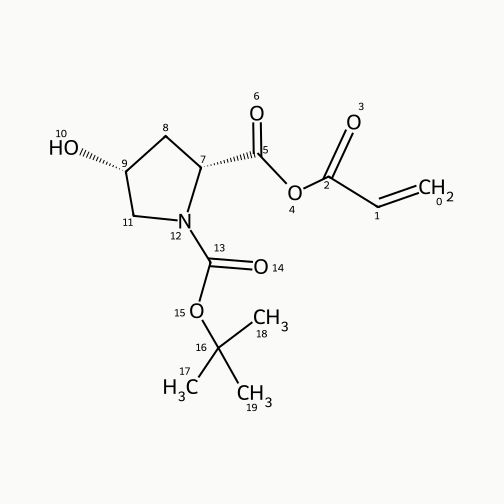 C=CC(=O)OC(=O)[C@H]1C[C@@H](O)CN1C(=O)OC(C)(C)C